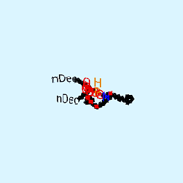 CCCCCCCCCCCCCCCC(=O)OCC(COPOCCN1CC=C(/C=C/C=C(C)/C=C/C2=C(C)CCCC2(C)C)C=C1/C=C(C)/C=C/CC(C)/C=C/C1=C(C)CCCC1(C)C)OC(=O)CCCCCCCCCCCCCCC